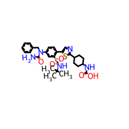 CC(C)(C)NS(=O)(=O)c1cc(N(Cc2ccccc2)C(N)=O)ccc1-c1cnc(C2CCC(NC(=O)O)CC2)s1